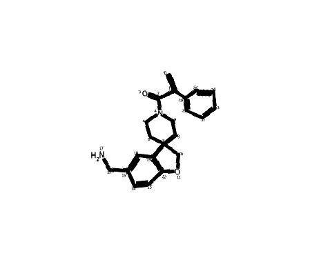 C=C(C(=O)N1CCC2(CC1)COc1ccc(CN)cc12)c1ccccc1